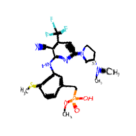 COP(=O)(O)Cc1ccc(SC)c(Nc2nc(N3CC[C@H](N(C)C)C3)cc(C(F)(F)F)c2C#N)c1